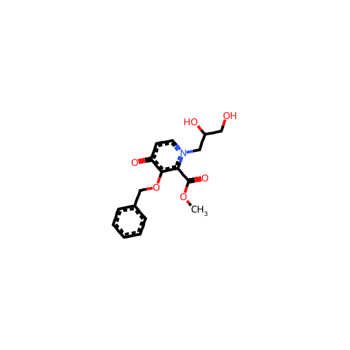 COC(=O)c1c(OCc2ccccc2)c(=O)ccn1CC(O)CO